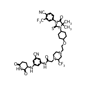 CC1(C)C(=O)N(c2ccc(C#N)c(C(F)(F)F)c2)C(=S)N1C1CCC(OCCN2CCN(CC(=O)Nc3cc(C#N)cc(NC4CCC(=O)NC4=O)c3)C(C(F)(F)F)C2)CC1